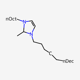 CCCCCCCCCCCCCCCN1C=CN(CCCCCCCC)C1C